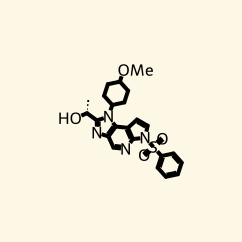 COC1CCC(n2c([C@@H](C)O)nc3cnc4c(ccn4S(=O)(=O)c4ccccc4)c32)CC1